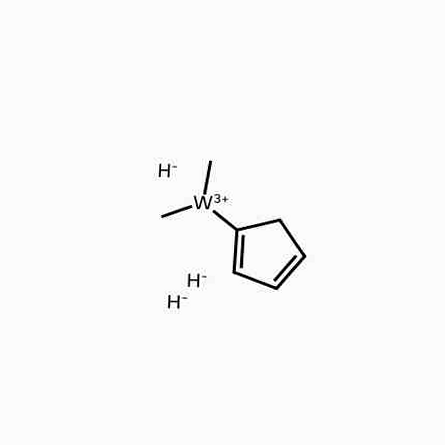 [CH3][W+3]([CH3])[C]1=CC=CC1.[H-].[H-].[H-]